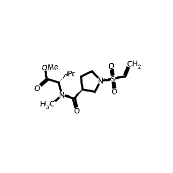 C=CS(=O)(=O)N1CC[C@H](C(=O)N(C)[C@H](C(=O)OC)C(C)C)C1